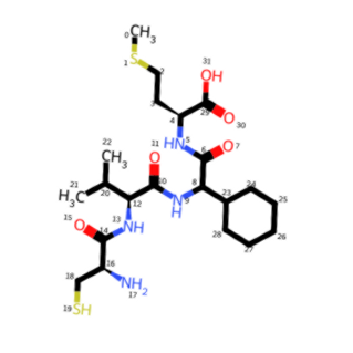 CSCC[C@H](NC(=O)C(NC(=O)[C@@H](NC(=O)[C@@H](N)CS)C(C)C)C1CCCCC1)C(=O)O